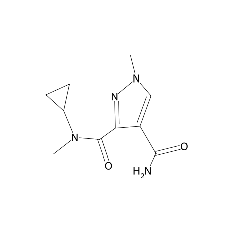 CN(C(=O)c1nn(C)cc1C(N)=O)C1CC1